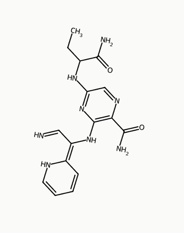 CCC(Nc1cnc(C(N)=O)c(N/C(C=N)=C2\C=CC=CN2)n1)C(N)=O